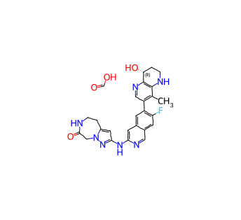 Cc1c(-c2cc3cc(Nc4cc5n(n4)CC(=O)NCC5)ncc3cc2F)cnc2c1NCC[C@H]2O.O=CO